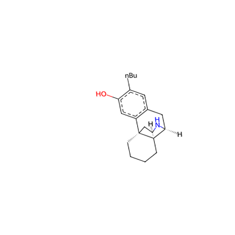 CCCCc1cc2c(cc1O)[C@]13CCCC[C@@H]1[C@H](C2)NCC3